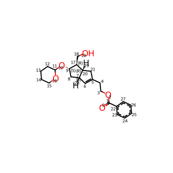 O=C(OCCC1=C[C@@H]2C[C@H](OC3CCCCO3)[C@@H](CO)[C@@H]2C1)c1ccccc1